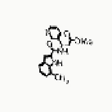 COC(=O)C[C@H](NC(=O)c1cc2cccc(C)c2[nH]1)c1cccnc1